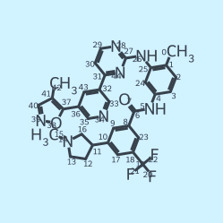 Cc1ccc(NC(=O)c2cc(C3CCN(C)C3)cc(C(F)(F)F)c2)cc1Nc1nccc(-c2cncc(-c3oncc3C)c2)n1